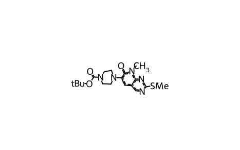 CSc1ncc2cc(N3CCN(C(=O)OC(C)(C)C)CC3)c(=O)n(C)c2n1